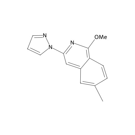 COc1nc(-n2cccn2)cc2cc(C)ccc12